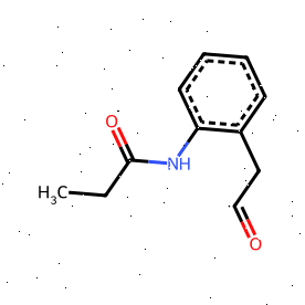 CCC(=O)Nc1ccccc1C[C]=O